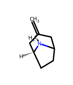 C=C1CC2CC[C@@H](C1)N2C